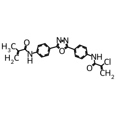 C=C(C)C(=O)Nc1ccc(-c2nnc(-c3ccc(NC(=O)C(=C)Cl)cc3)o2)cc1